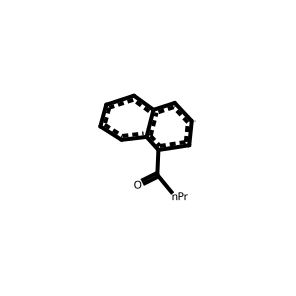 CCCC(=O)c1c[c]cc2ccccc12